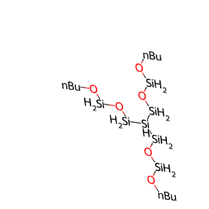 CCCCO[SiH2]O[SiH2][SiH]([SiH2]O[SiH2]OCCCC)[SiH2]O[SiH2]OCCCC